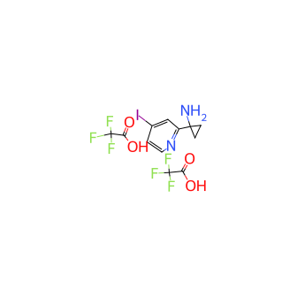 NC1(c2cc(I)ccn2)CC1.O=C(O)C(F)(F)F.O=C(O)C(F)(F)F